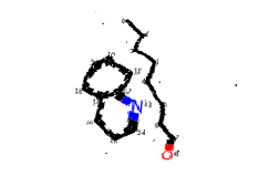 CCCCCCCC=O.c1ccc2ncccc2c1